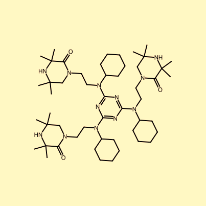 CC1(C)CN(CCN(c2nc(N(CCN3CC(C)(C)NC(C)(C)C3=O)C3CCCCC3)nc(N(CCN3CC(C)(C)NC(C)(C)C3=O)C3CCCCC3)n2)C2CCCCC2)C(=O)C(C)(C)N1